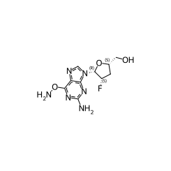 NOc1nc(N)nc2c1ncn2[C@@H]1O[C@H](CO)C[C@@H]1F